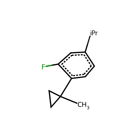 CC(C)c1ccc(C2(C)CC2)c(F)c1